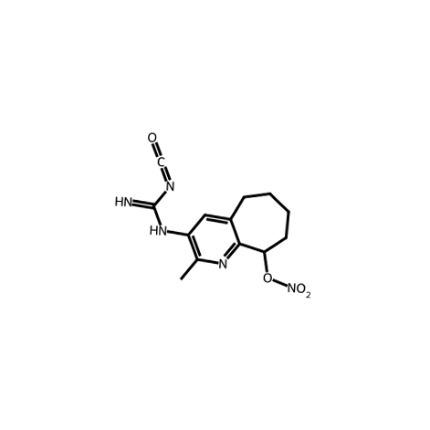 Cc1nc2c(cc1NC(=N)N=C=O)CCCCC2O[N+](=O)[O-]